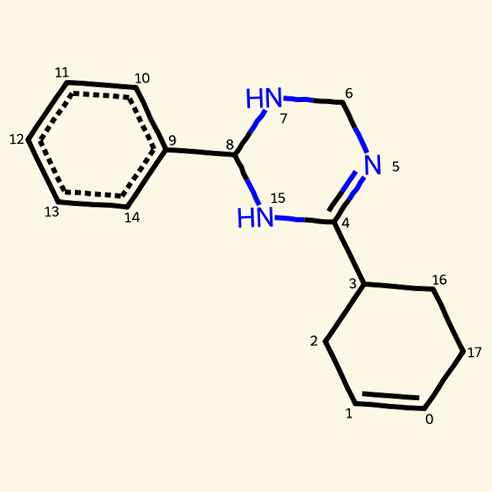 C1=CCC(C2=NCNC(c3ccccc3)N2)CC1